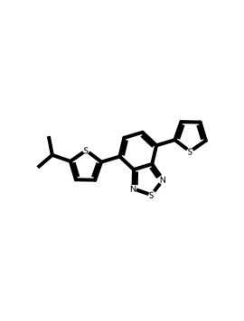 CC(C)c1ccc(-c2ccc(-c3cccs3)c3nsnc23)s1